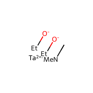 CC[O-].CC[O-].CNC.[Ta+2]